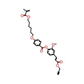 C#CCOC(=O)/C=C/c1ccc(OC(=O)c2ccc(OCCCCCCOC(=O)C(=C)C)cc2)c(OC)c1